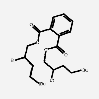 CCC(C)CCC(CC)COC(=O)c1ccccc1C(=O)OCC(CC)CCC(C)CC